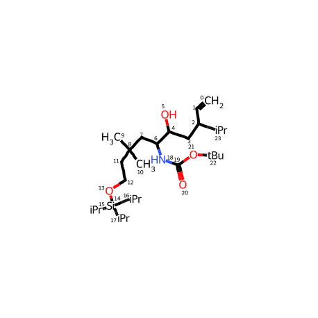 C=CC(CC(O)C(CC(C)(C)CCO[Si](C(C)C)(C(C)C)C(C)C)NC(=O)OC(C)(C)C)C(C)C